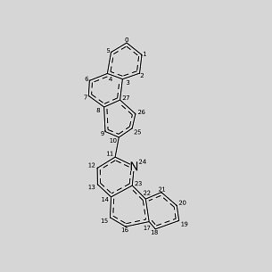 c1ccc2c(c1)ccc1cc(-c3ccc4ccc5ccccc5c4n3)ccc12